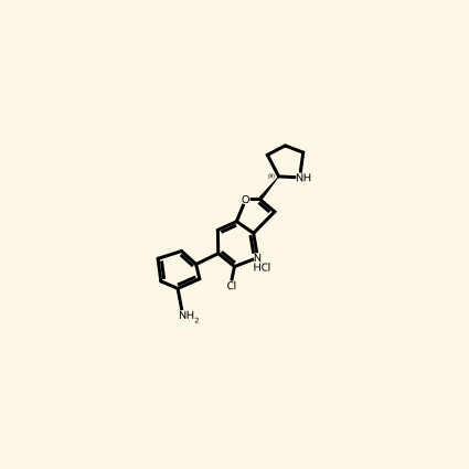 Cl.Nc1cccc(-c2cc3oc([C@H]4CCCN4)cc3nc2Cl)c1